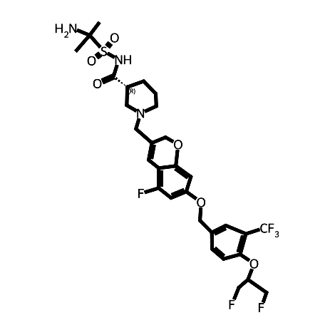 CC(C)(N)S(=O)(=O)NC(=O)[C@@H]1CCCN(CC2=Cc3c(F)cc(OCc4ccc(OC(CF)CF)c(C(F)(F)F)c4)cc3OC2)C1